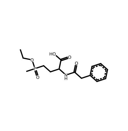 CCOP(C)(=O)CCC(NC(=O)Cc1ccccc1)C(=O)O